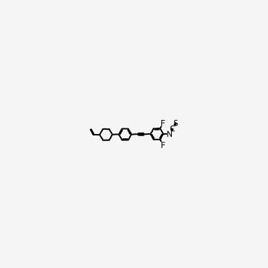 C=CC1CCC(c2ccc(C#Cc3cc(F)c(N=C=S)c(F)c3)cc2)CC1